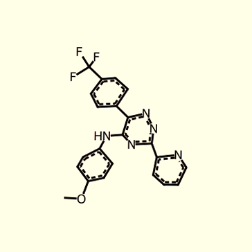 COc1ccc(Nc2nc(-c3ccccn3)nnc2-c2ccc(C(F)(F)F)cc2)cc1